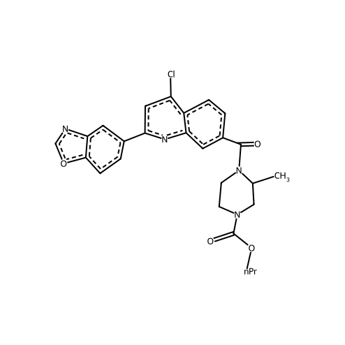 CCCOC(=O)N1CCN(C(=O)c2ccc3c(Cl)cc(-c4ccc5ocnc5c4)nc3c2)C(C)C1